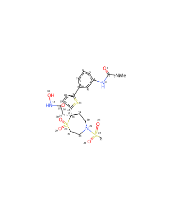 CNC(=O)Nc1cccc(-c2ccc([C@@]3(CC(=O)NO)CCN(S(C)(=O)=O)CCS3(=O)=O)s2)c1